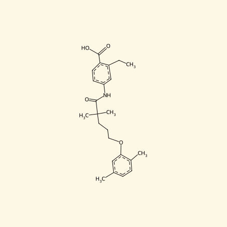 CCc1cc(NC(=O)C(C)(C)CCCOc2cc(C)ccc2C)ccc1C(=O)O